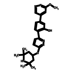 COc1cc(-c2ccc(-c3ccc(OC4CC(C)(C)NC(C)(C)C4)nn3)c(O)c2)cnn1